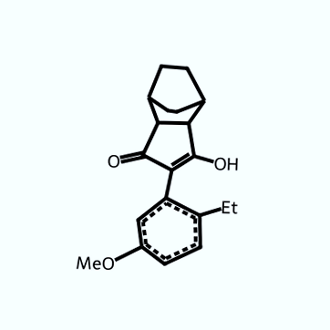 CCc1ccc(OC)cc1C1=C(O)C2C3CCC(CC3)C2C1=O